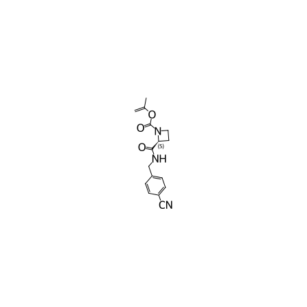 C=C(C)OC(=O)N1CC[C@H]1C(=O)NCc1ccc(C#N)cc1